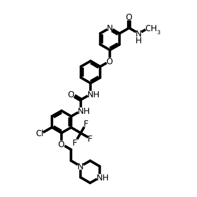 CNC(=O)c1cc(Oc2cccc(NC(=O)Nc3ccc(Cl)c(OCCN4CCNCC4)c3C(F)(F)F)c2)ccn1